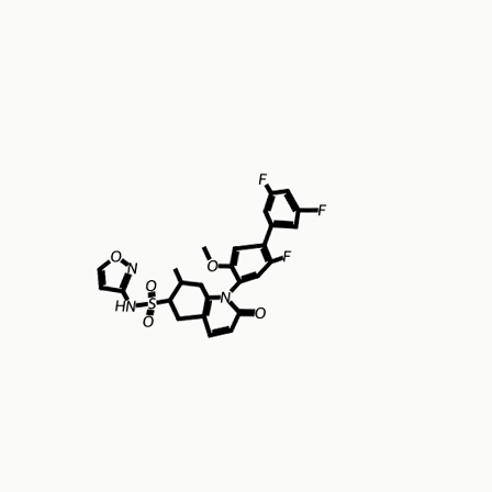 COc1cc(-c2cc(F)cc(F)c2)c(F)cc1-n1c2c(ccc1=O)CC(S(=O)(=O)Nc1ccon1)C(C)C2